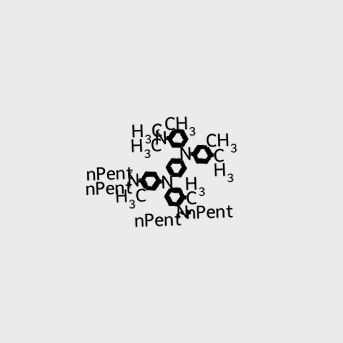 CCCCCN(CCCCC)c1ccc(N(c2ccc(N(c3ccc(C)c(C)c3)c3ccc(C)c(N(C)C)c3)cc2)c2ccc(N(CCCCC)CCCCC)c(C)c2)cc1C